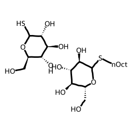 CCCCCCCCSC1O[C@H](CO)[C@@H](O)[C@H](O)[C@H]1O.OC[C@H]1OC(S)[C@H](O)[C@@H](O)[C@@H]1O